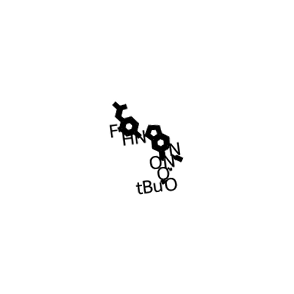 CC(C)=Cc1ccc(N[C@H]2CCc3cc4nc(C)n(COC(=O)C(C)(C)C)c(=O)c4cc32)cc1F